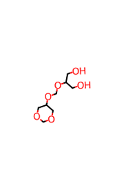 OCC(CO)OCOC1COCOC1